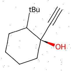 C#C[C@]1(O)CCCCC1C(C)(C)C